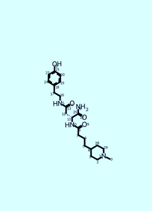 CN1CCC(CCCC(=O)N[C@H](CC(=O)NCCc2ccc(O)cc2)C(N)=O)CC1